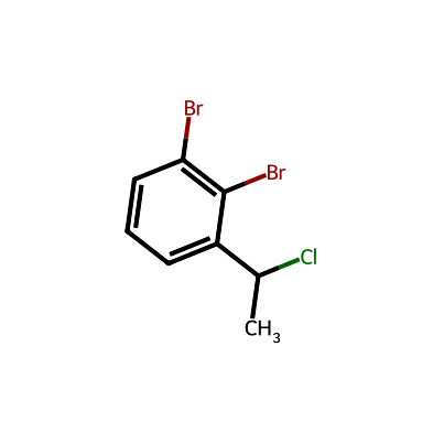 CC(Cl)c1cccc(Br)c1Br